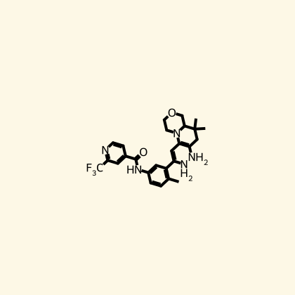 Cc1ccc(NC(=O)c2ccnc(C(F)(F)F)c2)cc1/C(N)=C/C1=C(N)CC(C)(C)C2COCCN12